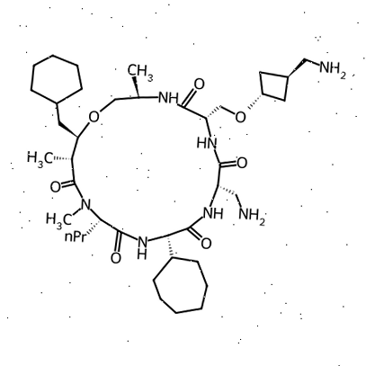 CCC[C@H]1C(=O)N[C@@H](C2CCCCCC2)C(=O)N[C@@H](CN)C(=O)N[C@@H](CO[C@H]2C[C@H](CN)C2)C(=O)N[C@H](C)CO[C@H](CC2CCCCC2)[C@@H](C)C(=O)N1C